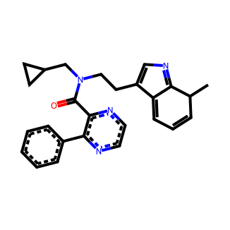 CC1C=CC=C2C(CCN(CC3CC3)C(=O)c3nccnc3-c3ccccc3)=CN=C21